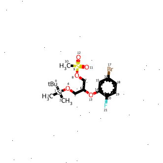 CC(C)(C)[Si](C)(C)OCC(COS(C)(=O)=O)Oc1cc(Br)ccc1F